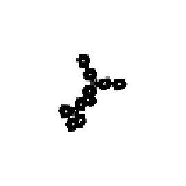 c1ccc(-c2ccc(N(c3ccc(-c4ccccc4)cc3)c3ccc4c(ccc5cc(N(c6ccccc6)c6cccc7ccccc67)ccc54)c3)cc2)cc1